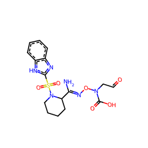 NC(=NON(CC=O)C(=O)O)C1CCCCN1S(=O)(=O)c1nc2ccccc2[nH]1